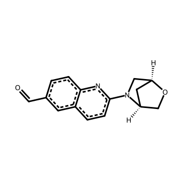 O=Cc1ccc2nc(N3C[C@@H]4C[C@H]3CO4)ccc2c1